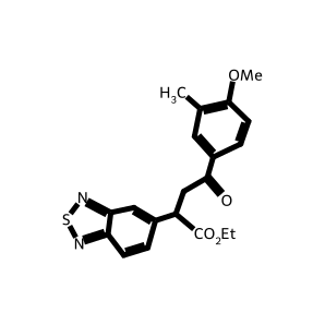 CCOC(=O)C(CC(=O)c1ccc(OC)c(C)c1)c1ccc2nsnc2c1